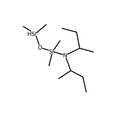 CCC(C)N(C(C)CC)[Si](C)(C)O[SiH](C)C